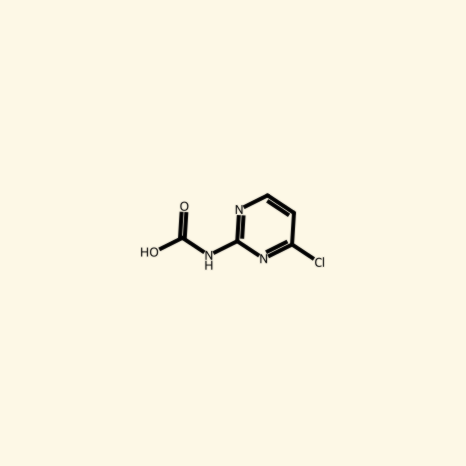 O=C(O)Nc1nccc(Cl)n1